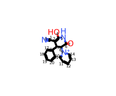 N#CC1=C(O)NC(=O)C([n+]2ccccc2)C1c1ccccc1